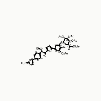 CCOC(C(=O)c1ccc(-c2cc(OC)c(Cl)c(O[C@H]3O[C@H](C(=O)OC)[C@@H](OC(C)=O)[C@H](OC(C)=O)[C@H]3OC(C)=O)c2)o1)c1ccc(-c2nnc(C)s2)cc1